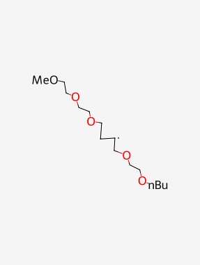 CCCCOCCOC[CH]CCOCCOCCOC